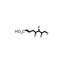 O=C(O)C=CCC(F)C(F)C(F)CF